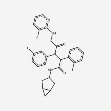 Cc1ccccc1C(C(=O)NC1CC2CC2C1)N(C(=O)CNc1ncccc1F)c1cccc(F)c1